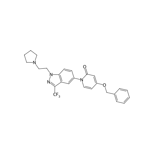 O=c1cc(OCc2ccccc2)ccn1-c1ccc2c(c1)c(C(F)(F)F)nn2CCN1CCCC1